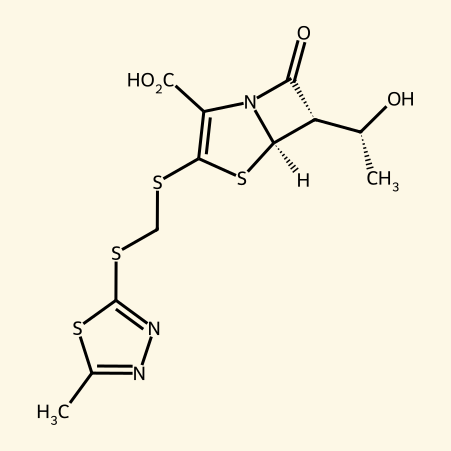 Cc1nnc(SCSC2=C(C(=O)O)N3C(=O)[C@H]([C@@H](C)O)[C@H]3S2)s1